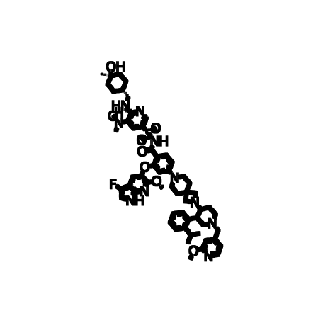 COc1cc(CN2CCC(N3CC4(CCN(c5ccc(C(=O)NS(=O)(=O)c6cnc(NC[C@H]7CC[C@](C)(O)CC7)c([NH+](C)[O-])c6)c(Oc6cc7c(F)c[nH]c7nc6OC)c5)CC4)C3)C(c3ccccc3C(C)C)C2)ccn1